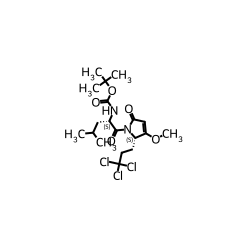 COC1=CC(=O)N(C(=O)[C@H](CC(C)C)NC(=O)OC(C)(C)C)[C@H]1CCC(Cl)(Cl)Cl